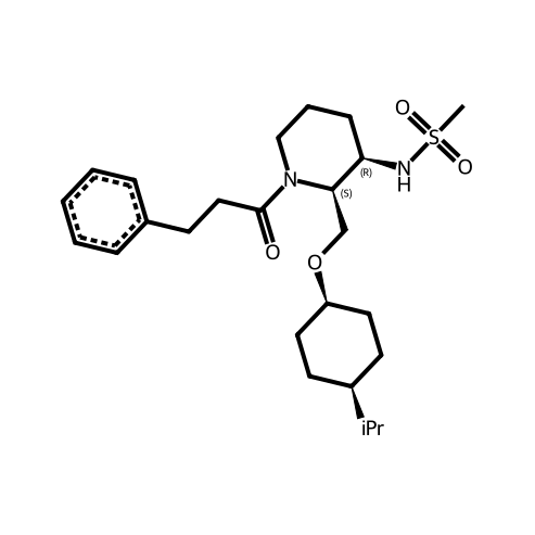 CC(C)[C@H]1CC[C@@H](OC[C@@H]2[C@H](NS(C)(=O)=O)CCCN2C(=O)CCc2ccccc2)CC1